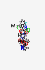 COc1cccc(F)c1-c1nc(Cl)c2c(c1Cl)OC[C@H]1CN(C(=O)OC(C)(C)C)C(CC3(C)OB(c4c(C)cnn4C)OC3(C)C)CN1C2=O